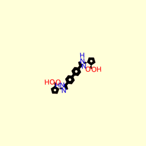 O=C(O)[C@@H]1CCC[C@H]1c1nc(-c2ccc(-c3ccc(-c4cnc([C@@H]5CCC[C@H]5C(=O)O)[nH]4)cc3)cc2)c[nH]1